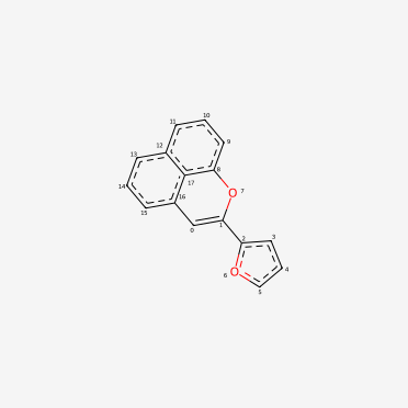 C1=C(c2ccco2)Oc2cccc3cccc1c23